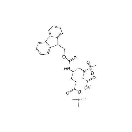 CC(C)(C)OC(=O)CCC(CN(CC(=O)O)S(C)(=O)=O)NC(=O)OCC1c2ccccc2-c2ccccc21